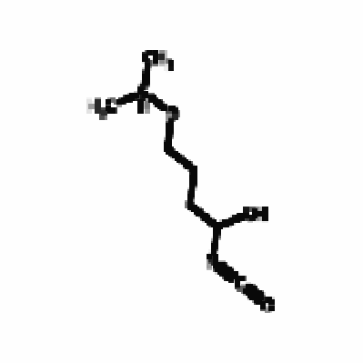 C[SiH](C)OCCCC(O)N=C=O